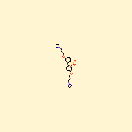 O=S1(=O)c2ccc(OCCCN3CCC3)cc2-c2ccc(OCCCN3CCC3)cc21